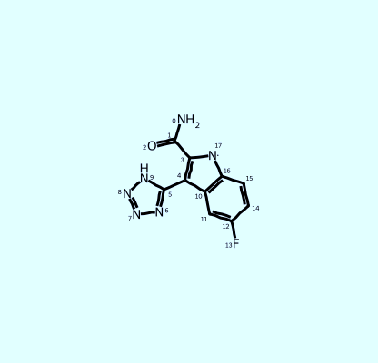 NC(=O)C1=C(c2nnn[nH]2)c2cc(F)ccc2[N]1